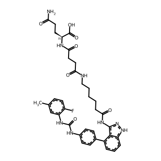 Cc1ccc(F)c(NC(=O)Nc2ccc(-c3cccc4[nH]nc(NC(=O)CCCCCNC(=O)CCC(=O)N[C@@H](CCC(N)=O)C(=O)O)c34)cc2)c1